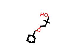 CC(C)(CO)CCOCc1ccccc1